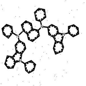 c1ccc(N(c2ccc3c(c2)c2ccccc2n3-c2ccccc2)c2cccc3c(N(c4ccccc4)c4ccc5c(c4)c4ccccc4n5-c4ccccc4)cccc23)cc1